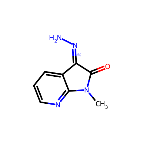 CN1C(=O)/C(=N/N)c2cccnc21